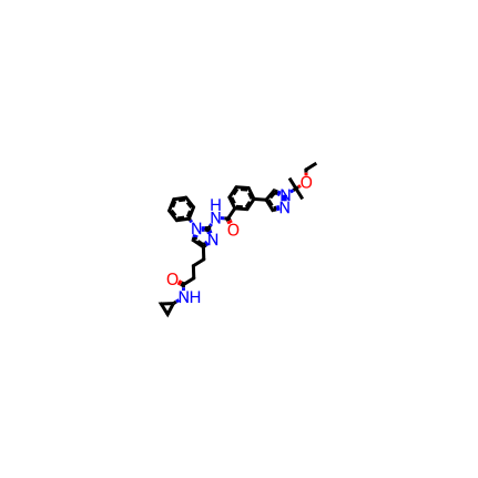 CCOC(C)(C)n1cc(-c2cccc(C(=O)Nc3nc(CCCC(=O)NC4CC4)cn3-c3ccccc3)c2)cn1